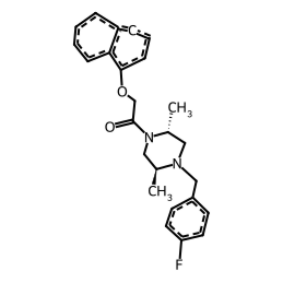 C[C@@H]1CN(Cc2ccc(F)cc2)[C@@H](C)CN1C(=O)COc1cccc2ccccc12